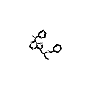 CN(c1ccccc1)c1ncnc2c(CC(CF)OCc3ccccc3)cnn12